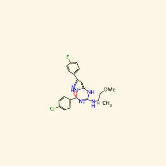 COC[C@H](C)N/C(=N/C(=O)c1ccc(Cl)cc1)Nc1cc(-c2ccc(F)cc2)n[nH]1